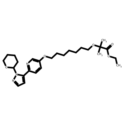 CCOC(=O)C(C)(C)OCCCCCCCOc1ccc(-c2ccnn2C2CCCCO2)nc1